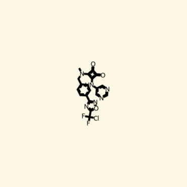 CN(Cc1ccc(-c2noc(C(F)(F)Cl)n2)cc1)c1c(Nc2cncnc2)c(=O)c1=O